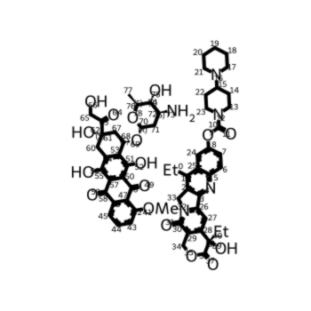 CCc1c2c(nc3ccc(OC(=O)N4CCC(N5CCCCC5)CC4)cc13)-c1cc3c(c(=O)n1C2)COC(=O)[C@]3(O)CC.COc1cccc2c1C(=O)c1c(O)c3c(c(O)c1C2=O)C[C@@](O)(C(=O)CO)C[C@@H]3O[C@H]1C[C@H](N)[C@@H](O)[C@H](C)O1